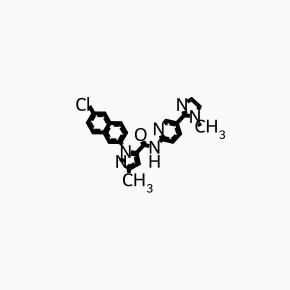 Cc1cc(C(=O)Nc2ccc(C3=NCCN3C)cn2)n(-c2ccc3cc(Cl)ccc3c2)n1